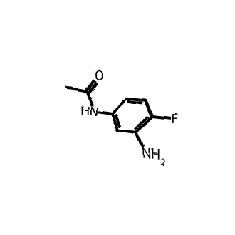 CC(=O)Nc1ccc(F)c(N)c1